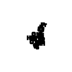 CC(C)N1CCN(c2nc(C3=C(c4c[nH]c5sccc45)C(=O)NC3=O)c3ccccc3n2)CC1